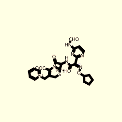 O=CNc1ccnc(/C(=N/OC2CCCC2)C(=O)NC2C(=O)N3C(C(=O)[O-])=C(C[n+]4ccccc4)CS[C@H]23)n1